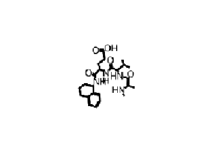 CNC(C)C(=O)NC(C(=O)NC(CCC(=O)O)C(=O)NC1CCCc2ccccc21)C(C)C